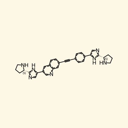 C(#Cc1ccc2cc(-c3cnc([C@@H]4CCCN4)[nH]3)cnc2c1)c1ccc(-c2cnc([C@@H]3CCCN3)[nH]2)cc1